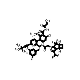 Cn1nc(NC(=O)CO)c2c(Cl)ccc(-c3ccc(C#CC(C)(C)O)nc3[C@H](Cc3cc(F)cc(F)c3)NC(=O)Cn3nc(C(F)F)c4c3C(F)(F)[C@@H]3CC[C@H]43)c21